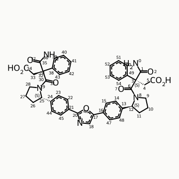 NC(=O)[C@@](CC(=O)O)(C(=O)N1CCC[C@H]1c1ccc(-c2cnc(-c3ccc([C@@H]4CCCN4C(=O)[C@](CC(=O)O)(C(N)=O)c4ccccc4)cc3)o2)cc1)c1ccccc1